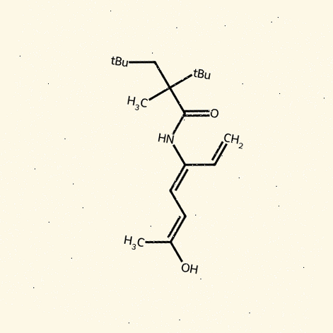 C=C/C(=C\C=C(/C)O)NC(=O)C(C)(CC(C)(C)C)C(C)(C)C